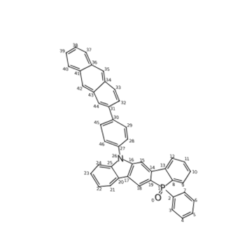 O=P1(c2ccccc2)c2ccccc2-c2cc3c(cc21)c1ccccc1n3-c1ccc(-c2ccc3cc4ccccc4cc3c2)cc1